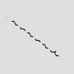 CC(=O)NCC(F)COCCOCCOCCOCCOCCNC(C)C